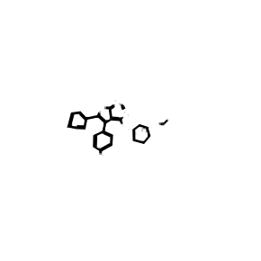 O=C(O)CO[C@@H]1CCC[C@H](Oc2ncnc3oc(-c4ccccc4)c(-c4ccc(Cl)cc4)c23)C1